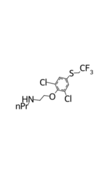 CCCNCCOc1c(Cl)cc(SCC(F)(F)F)cc1Cl